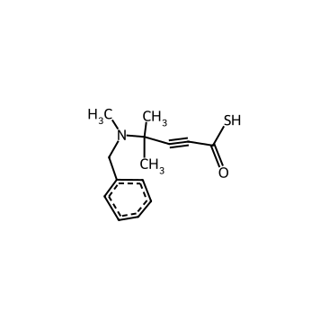 CN(Cc1ccccc1)C(C)(C)C#CC(=O)S